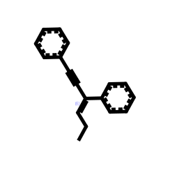 CC/C=C(/C#Cc1ccccc1)c1ccccc1